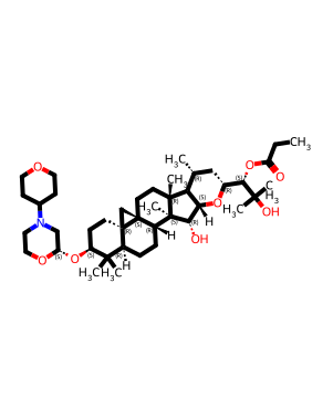 CCC(=O)O[C@@H]([C@H]1C[C@@H](C)C2[C@H](O1)[C@H](O)[C@@]1(C)[C@@H]3CC[C@H]4C(C)(C)[C@@H](O[C@H]5CN(C6CCOCC6)CCO5)CC[C@@]45C[C@@]35CC[C@]21C)C(C)(C)O